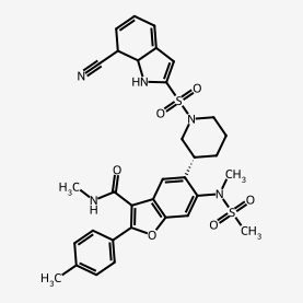 CNC(=O)c1c(-c2ccc(C)cc2)oc2cc(N(C)S(C)(=O)=O)c([C@H]3CCCN(S(=O)(=O)C4=CC5=CC=CC(C#N)C5N4)C3)cc12